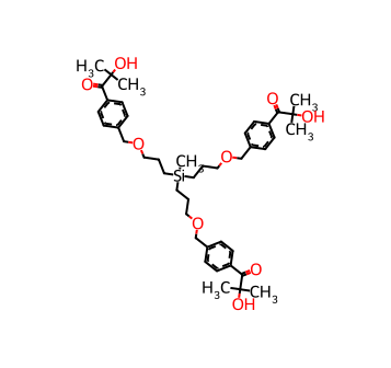 CC(C)(O)C(=O)c1ccc(COCCC[Si](C)(CCCOCc2ccc(C(=O)C(C)(C)O)cc2)CCCOCc2ccc(C(=O)C(C)(C)O)cc2)cc1